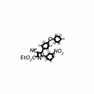 CCOC(=O)c1nn(-c2cccc([N+](=O)[O-])c2)c(-c2ccc(Oc3ccccc3)cc2)c1C#N